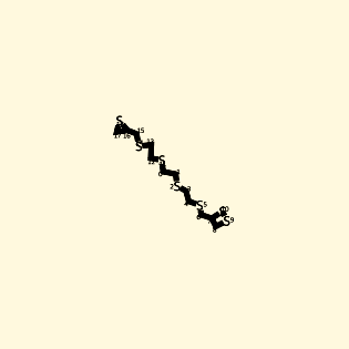 C(CSCCSCC1CSS1)SCCSCC1CS1